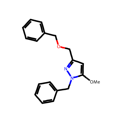 COc1cc(COCc2ccccc2)nn1Cc1ccccc1